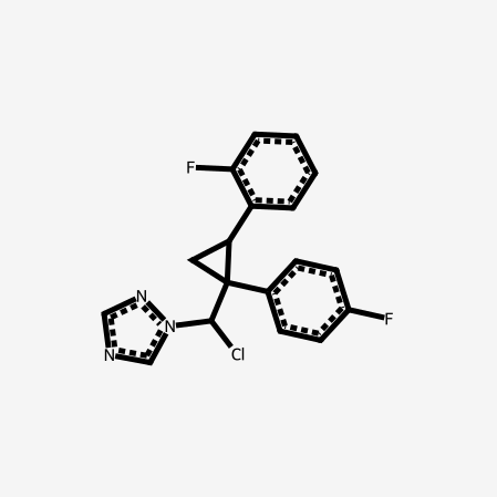 Fc1ccc(C2(C(Cl)n3cncn3)CC2c2ccccc2F)cc1